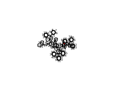 O=C(OC(c1ccccc1)c1ccccc1)C1=C(SCC2COCO2)CS[C@H]2C(NC(=O)/C(=N\OC(c3ccccc3)(c3ccccc3)c3ccccc3)c3csc(NC(c4ccccc4)(c4ccccc4)c4ccccc4)n3)C(=O)N12